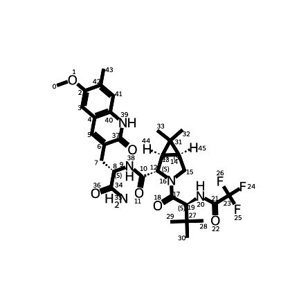 COc1cc2cc(C[C@H](NC(=O)[C@@H]3[C@@H]4[C@H](CN3C(=O)[C@@H](NC(=O)C(F)(F)F)C(C)(C)C)C4(C)C)C(N)=O)c(=O)[nH]c2cc1C